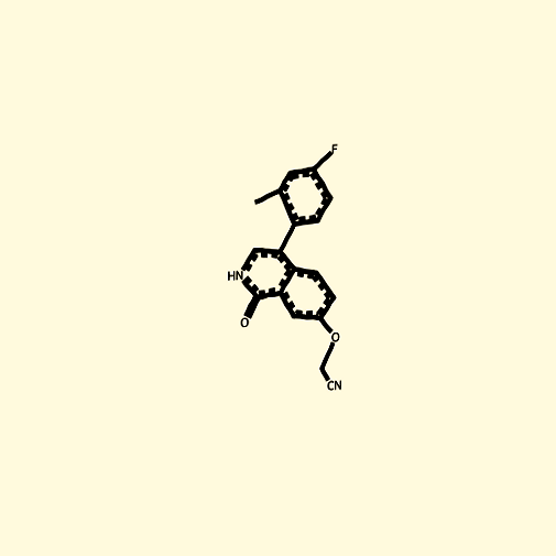 Cc1cc(F)ccc1-c1c[nH]c(=O)c2cc(OCC#N)ccc12